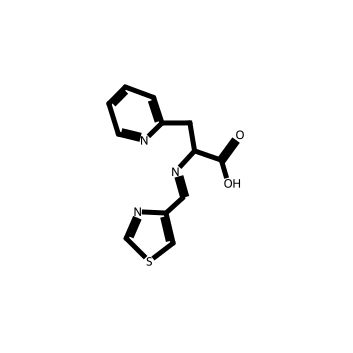 O=C(O)C(Cc1ccccn1)/N=C/c1cscn1